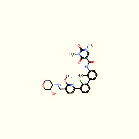 COc1nc(-c2cccc(-c3cccc(NC(=O)c4cn(C)c(=O)n(C)c4=O)c3C)c2Cl)ccc1CN[C@@H]1CCOC[C@H]1O